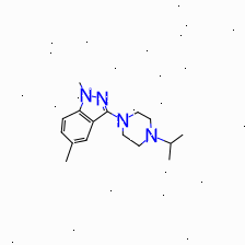 Cc1ccc2c(c1)c(N1CCN(C(C)C)CC1)nn2C